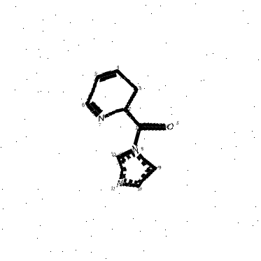 O=C(C1CC=CC=N1)n1ccnc1